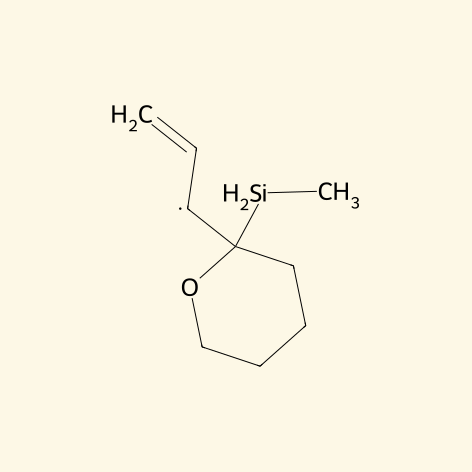 C=C[CH]C1([SiH2]C)CCCCO1